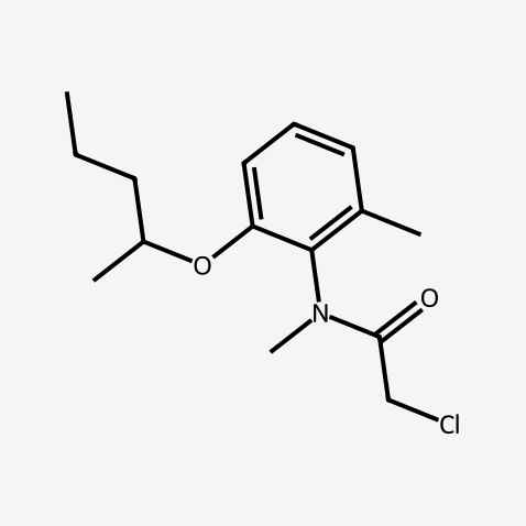 CCCC(C)Oc1cccc(C)c1N(C)C(=O)CCl